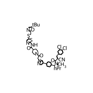 CCCC(c1ccc(-c2cnn(CC(=O)N3CCC(C(=O)Nc4ncc(SCc5ncc(C(C)(C)C)o5)s4)CC3)c2)cc1)N(C)C(=O)/C(C#N)=C/c1ccc(Cl)c(Cl)c1